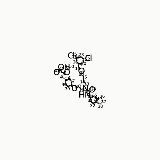 CCOC(Cc1ccc(OCCN(CCCCOCc2cc(Cl)cc(Cl)c2)C(=O)Nc2ccc3c(c2)CCC3)cc1)C(=O)O